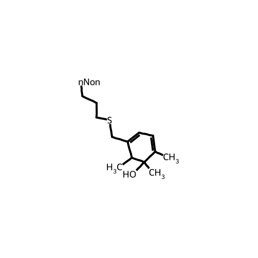 CCCCCCCCCCCCSCC1=CC=C(C)C(C)(O)C1C